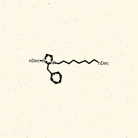 CCCCCCCCCCCCCCCCCC[n+]1ccn(CCCCCCCCCC)c1Cc1ccccc1